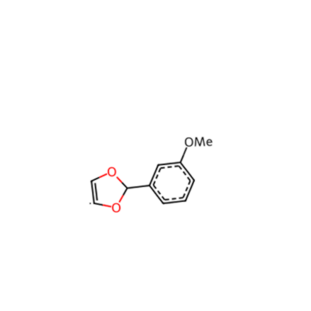 COc1cccc(C2O[C]=CO2)c1